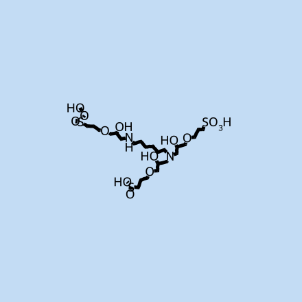 O=S(O)CCCOCC(O)CN(CCCCCCNCC(O)COCCCS(=O)OO)CC(O)COCCCS(=O)(=O)O